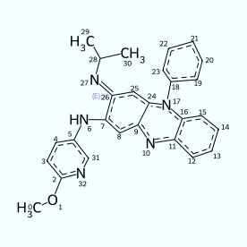 COc1ccc(Nc2cc3nc4ccccc4n(-c4ccccc4)c-3c/c2=N\C(C)C)cn1